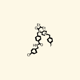 CCC(CC)C(=O)N(Cc1ccc(C(=O)NCc2ccc(Cl)cc2)cc1)C1CCN(Cc2ccc(F)cc2)CC1